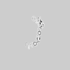 O=[N+]([O-])c1cn2c(n1)O[C@@H](COc1ccc(N3CCN(Cc4ccc(C(F)(F)F)cc4)CC3)cc1)CC2